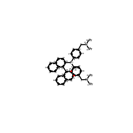 CC(C)N(Cc1ccc(P(c2ccc(CN(C(C)C)C(C)C)cc2)c2ccc3ccccc3c2-c2c(O)ccc3ccccc23)cc1)C(C)C